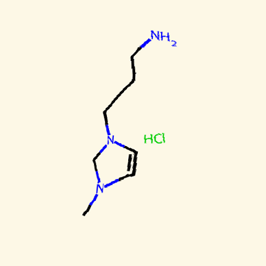 CN1C=CN(CCCN)C1.Cl